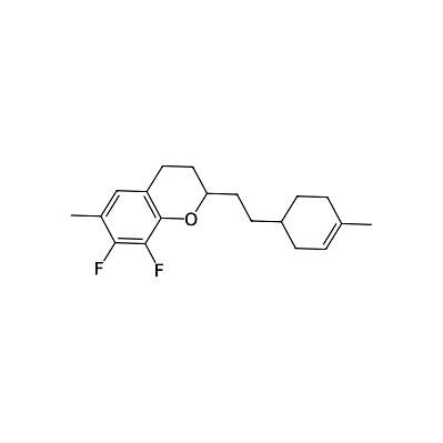 CC1=CCC(CCC2CCc3cc(C)c(F)c(F)c3O2)CC1